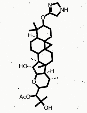 CC(=O)OC(C1C[C@@H](C)[C@H]2C(O1)[C@H](O)[C@@]1(C)C3CC[C@H]4C(C)(C)C(OC5=NCNC5)CCC45CC35CCC21C)C(C)(C)O